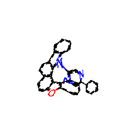 c1ccc(-c2cnc(-n3c4ccccc4c4ccc5ccc6oc7ccccc7c6c5c43)cn2)cc1